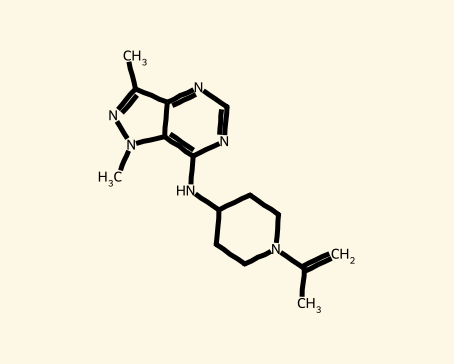 C=C(C)N1CCC(Nc2ncnc3c(C)nn(C)c23)CC1